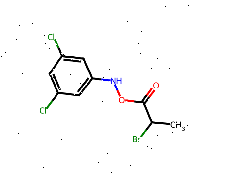 CC(Br)C(=O)ONc1cc(Cl)cc(Cl)c1